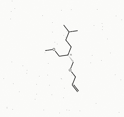 C=CCOC[C@@H](CCC(C)C)COC